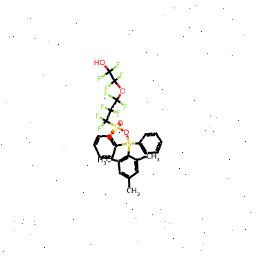 Cc1cc(C)c(S(OS(=O)(=O)C(F)(F)C(F)(F)C(F)(F)OC(F)(F)C(O)(F)F)(c2ccccc2)c2ccccc2)c(C)c1